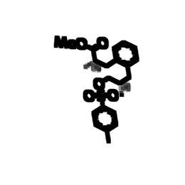 COC(=O)[C@@H](C)Cc1ccccc1C[C@H](C)COS(=O)(=O)c1ccc(C)cc1